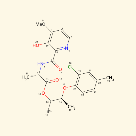 COc1ccnc(C(=O)N[C@@H](C)C(=O)OC(C(C)C)[C@H](C)Oc2ccc(C)cc2Cl)c1O